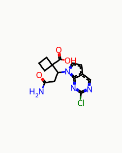 NC(=O)CC(n1ccc2cnc(Cl)nc21)C1(C(=O)O)CCC1